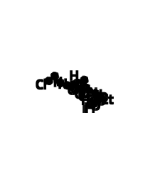 CCOP(=O)(CN1CCN(CCC(CSc2ccccc2)Nc2ccc(S(=O)(=O)NC(=O)c3ccc(N4CCN(Cc5ccccc5-c5ccc(Cl)cc5)CC4)cc3)cc2S(=O)(=O)C(F)(F)F)CC1)OCOC(=O)OC(C)C